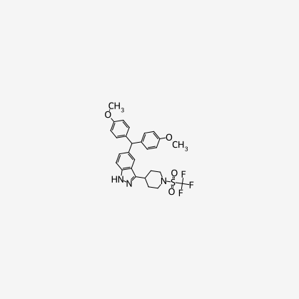 COc1ccc(C(c2ccc(OC)cc2)c2ccc3[nH]nc(C4CCN(S(=O)(=O)C(F)(F)F)CC4)c3c2)cc1